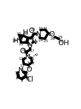 C[C@@H]1C[C@H](Oc2ncccc2Cl)CCN1C(=O)Cn1nc(C(=O)N2CCC(OCCO)CC2)c2c1C[C@H]1C[C@@H]21